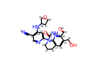 N#Cc1cnc([N+]2(C(N)=O)CCCc3cc(CO)c(C=O)nc32)cc1NC1CCOC1